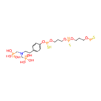 O[PH](O)(O)CN(CCc1ccc(OP(S)OCCCO[PH](=S)OCCCOP=S)cc1)C[PH](O)(O)O